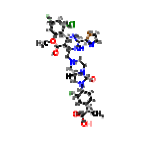 COC(=O)C1=C(CN2CCN3C(=O)N(c4ccc(C(C)C(=O)O)cc4F)C[C@@H]3C2)NC(c2nccs2)=N[C@H]1c1ccc(F)cc1Cl